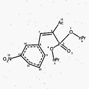 CCCOP(=O)(OCCC)/C(=C\c1cccc([N+](=O)[O-])c1)C(C)=O